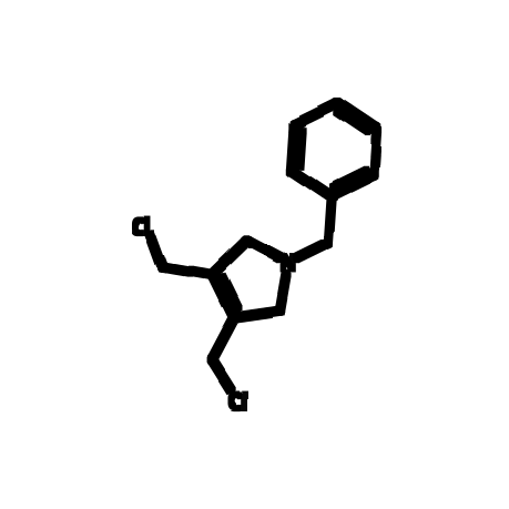 ClCC1=C(CCl)CN(Cc2ccccc2)C1